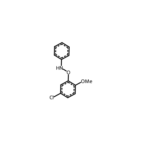 COc1ccc(Cl)cc1ONc1ccccc1